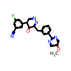 COc1cnc(-c2cccc(CC3=NN=CC(c4cc(F)cc(C#N)c4)C3=O)c2)nc1